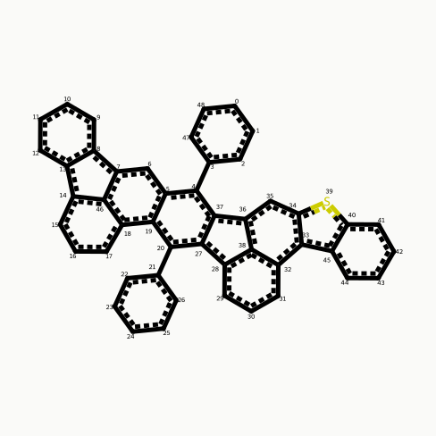 c1ccc(-c2c3cc4c5ccccc5c5cccc(c3c(-c3ccccc3)c3c6cccc7c8c(cc(c23)c67)sc2ccccc28)c54)cc1